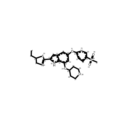 CCC1CN=C(c2cc3cc(Oc4ccc(S(C)(=O)=O)cn4)cc(OC4CCOCC4)c3[nH]2)S1